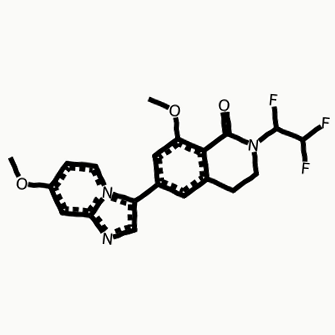 COc1ccn2c(-c3cc4c(c(OC)c3)C(=O)N(C(F)C(F)F)CC4)cnc2c1